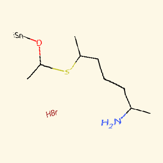 Br.CC(N)CCCC(C)SC(C)[O][Sn]